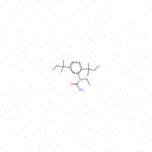 CCN(C(N)=O)c1cc(C(C)(C)CC)ccc1C(C)(C)CC